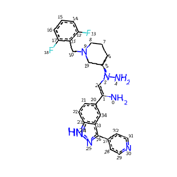 N/C(=C\N(N)[C@@H]1CCCN(Cc2c(F)cccc2F)C1)c1ccc2[nH]nc(-c3ccncc3)c2c1